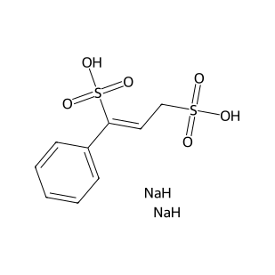 O=S(=O)(O)CC=C(c1ccccc1)S(=O)(=O)O.[NaH].[NaH]